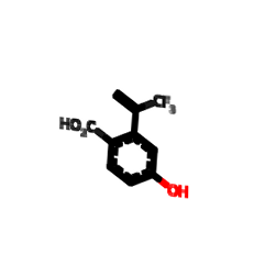 C=C(c1cc(O)ccc1C(=O)O)C(F)(F)F